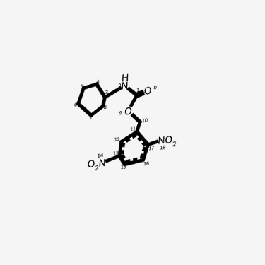 O=C(NC1CCCCC1)OCc1cc([N+](=O)[O-])ccc1[N+](=O)[O-]